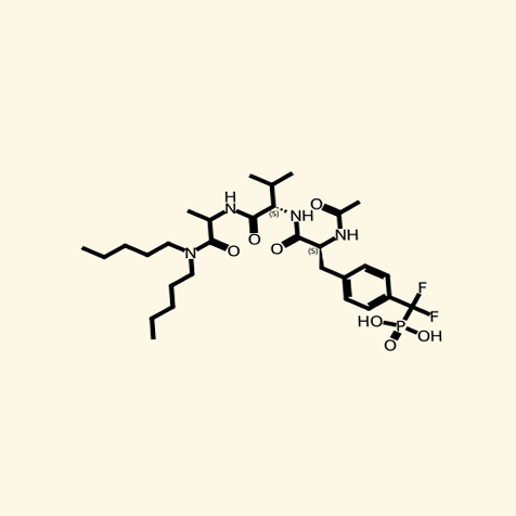 CCCCCN(CCCCC)C(=O)C(C)NC(=O)[C@@H](NC(=O)[C@H](Cc1ccc(C(F)(F)P(=O)(O)O)cc1)NC(C)=O)C(C)C